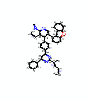 C=Nc1ncc(-c2cccc3oc4ccccc4c23)c(-c2ccc(-c3cc(-c4ccccc4)nc(/C(C)=C/C=C\C)n3)cc2)c1/C=C\C